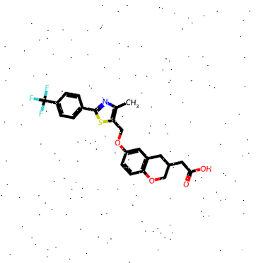 Cc1nc(-c2ccc(C(F)(F)F)cc2)sc1COc1ccc2c(c1)CC(CC(=O)O)CO2